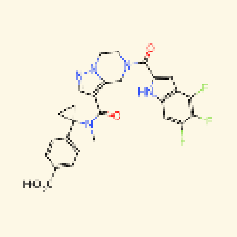 CN(C(=O)c1cnn2c1CN(C(=O)c1cc3c(F)c(F)c(F)cc3[nH]1)CC2)C1(c2ccc(C(=O)O)cc2)CC1